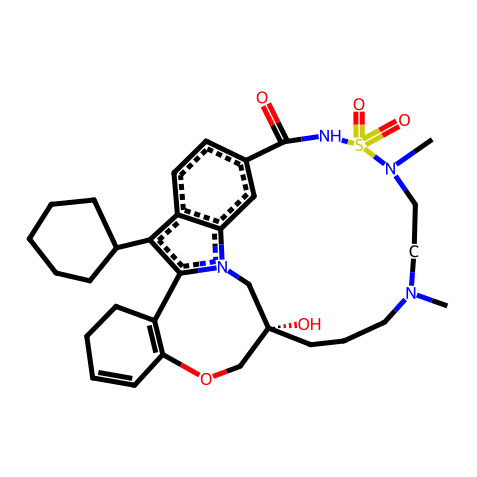 CN1CCC[C@@]2(O)COC3=C(CCC=C3)c3c(C4CCCCC4)c4ccc(cc4n3C2)C(=O)NS(=O)(=O)N(C)CC1